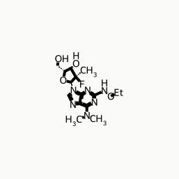 CCONc1nc(N(C)C)c2ncn([C@@H]3O[C@H](CO)[C@@H](O)[C@@]3(C)F)c2n1